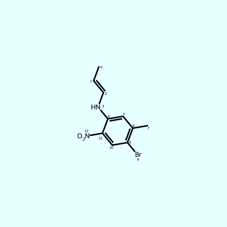 CC=CNc1cc(C)c(Br)cc1[N+](=O)[O-]